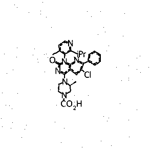 Cc1ccnc(C(C)C)c1-n1c(=O)nc(N2CCN(C(=O)O)C[C@@H]2C)c2cc(Cl)c(-c3ccccc3)nc21